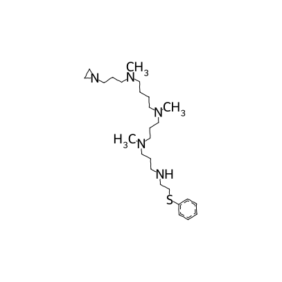 CN(CCCCN(C)CCCN1CC1)CCCN(C)CCCNCCSc1ccccc1